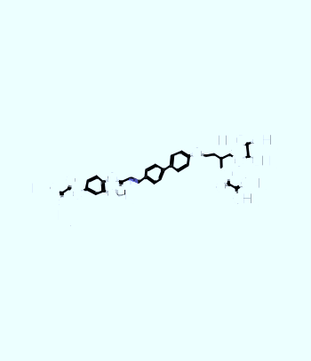 C=C(C)C(=O)OCC(CCOc1ccc(-c2ccc(/C=C/C(=O)Oc3ccc(OC(=O)C(=C)C)cc3C)cc2)cc1)COC(C)C(=C)C